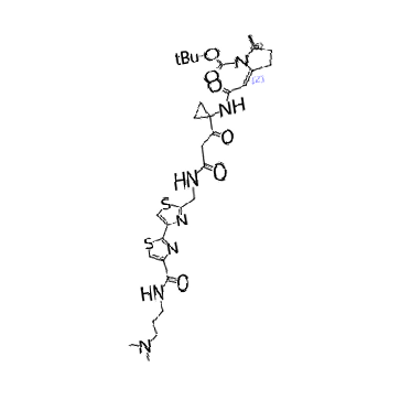 C[C@H]1CC/C(=C/C(=O)NC2(C(=O)CC(=O)NCc3nc(-c4nc(C(=O)NCCCN(C)C)cs4)cs3)CC2)N1C(=O)OC(C)(C)C